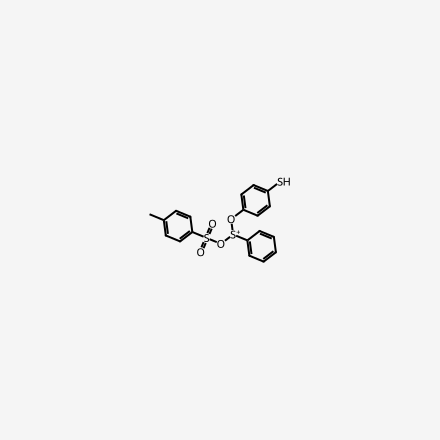 Cc1ccc(S(=O)(=O)O[S+](Oc2ccc(S)cc2)c2ccccc2)cc1